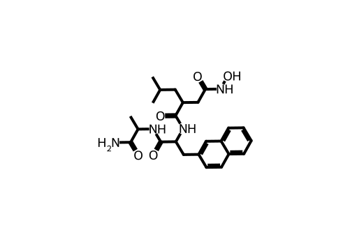 CC(C)CC(CC(=O)NO)C(=O)NC(Cc1ccc2ccccc2c1)C(=O)NC(C)C(N)=O